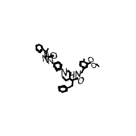 CCOC(=O)c1cc(CNC(=O)C(Cc2ccccc2)C2CCN(c3ccc(-n4cnn(C(C)c5ccccc5)c4=O)cc3)CC2)ccc1C